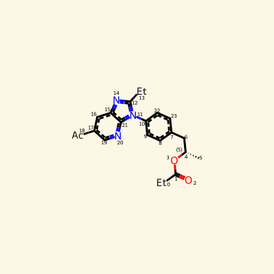 CCC(=O)O[C@@H](C)Cc1ccc(-n2c(CC)nc3cc(C(C)=O)cnc32)cc1